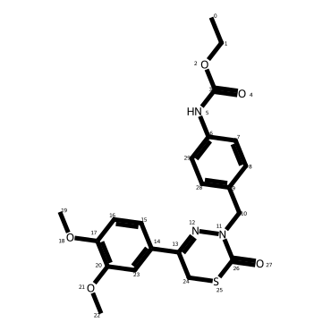 CCOC(=O)Nc1ccc(CN2N=C(c3ccc(OC)c(OC)c3)CSC2=O)cc1